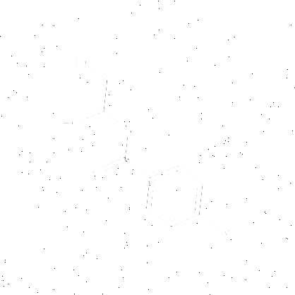 O=C(NC(O)CO)c1ccc(Br)cc1